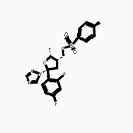 Cc1ccc(S(=O)(=O)OC[C@@H]2C[C@](c3ccc(F)cc3F)(n3cncn3)O[C@@H]2C)cc1